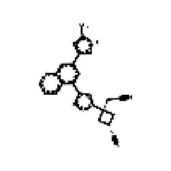 N#CC[C@]1(n2ncc(-c3cc(-c4cc(N)[nH]n4)cc4ncccc34)n2)C[C@@H](C#N)C1